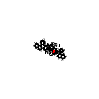 CCC(C)C1=Cc2c(-c3ccccc3-c3cccc4ccccc34)cccc2[CH]1[Hf]([Cl])([Cl])([B](NC=O)NC=O)[CH]1C(C(C)CC)=Cc2c(-c3ccccc3-c3cccc4ccccc34)cccc21